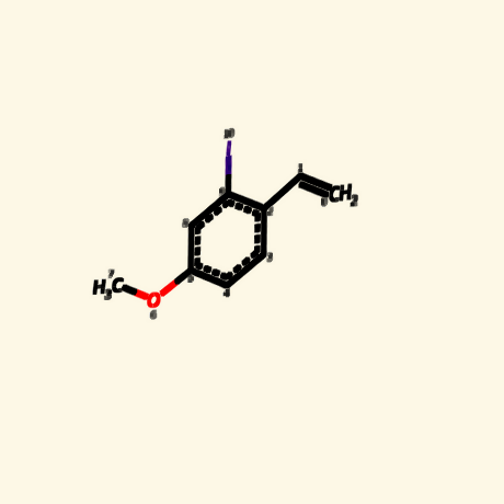 C=Cc1ccc(OC)cc1I